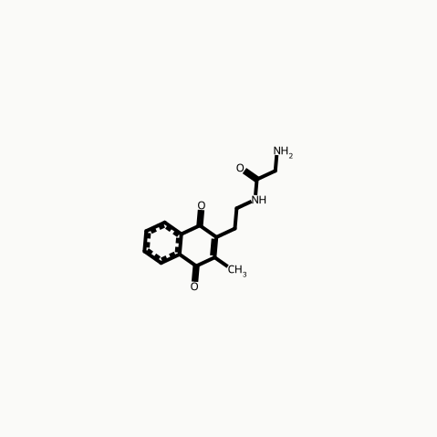 CC1=C(CCNC(=O)CN)C(=O)c2ccccc2C1=O